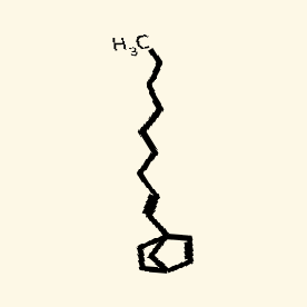 CCCCCCCC=CC12C=CC(CC1)C2